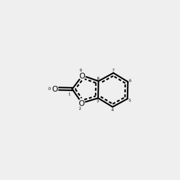 O=c1oc2ccccc2o1